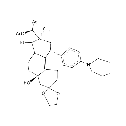 CCC1C2CC[C@@]3(O)CC4(CCC3=C2[C@@H](c2ccc(N3CCCCC3)cc2)C[C@]1(C)[C@@H](OC(C)=O)C(C)=O)OCCO4